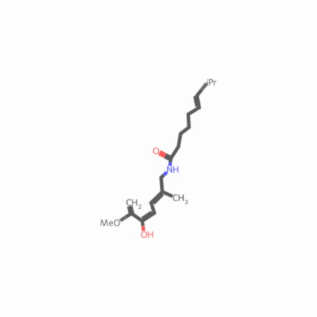 C=C(OC)/C(O)=C\C=C(/C)CNC(=O)CCCC/C=C/C(C)C